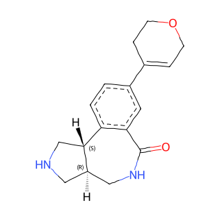 O=C1NC[C@H]2CNC[C@@H]2c2ccc(C3=CCOCC3)cc21